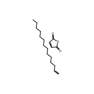 C=CCCCCCCCCCCCC.O=C1C=CC(=O)O1